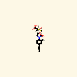 CC#Cc1ccc(N2C[C@H](C[C@](C)(C(=O)O)S(C)(=O)=O)OC2=O)c(C)c1